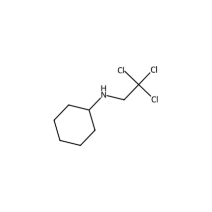 ClC(Cl)(Cl)CNC1CCCCC1